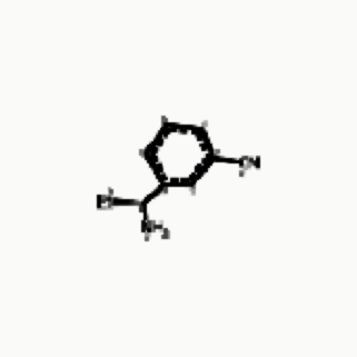 CC[C@H](N)c1cccc(C#N)c1